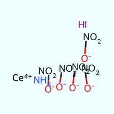 I.O=[N+]([O-])[O-].O=[N+]([O-])[O-].O=[N+]([O-])[O-].O=[N+]([O-])[O-].O=[N+]([O-])[O-].[Ce+4].[NH4+]